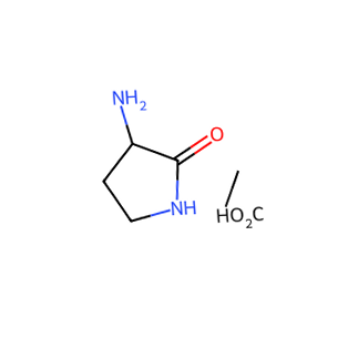 CC(=O)O.NC1CCNC1=O